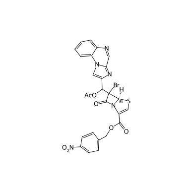 CC(=O)OC(c1cn2c(cnc3ccccc32)n1)C1(Br)C(=O)N2C(C(=O)OCc3ccc([N+](=O)[O-])cc3)=CS[C@@H]21